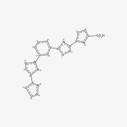 O=C(O)c1coc(-c2coc(-c3cccc(-c4nc(-c5ncco5)co4)c3)n2)n1